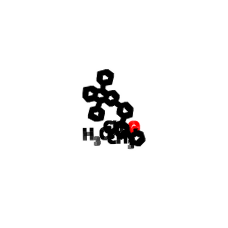 CC(C)(C)c1cc(-c2cccc(-c3ccc4c(-c5ccccc5)c5ccccc5c(-c5ccccc5)c4c3)c2)c2oc3ccccc3c2c1